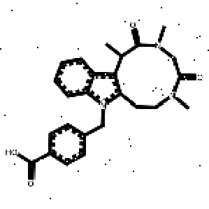 CC1C(=O)N(C)CC(=O)N(C)CCc2c1c1ccccc1n2Cc1ccc(C(=O)O)cc1